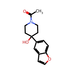 CC(=O)N1CCC(O)(c2ccc3occc3c2)CC1